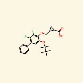 CC(C)(C)[Si](C)(C)Oc1cc(-c2ccccc2)c(F)c(F)c1OCC1CC1C(=O)O